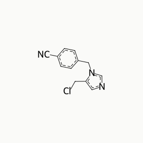 N#Cc1ccc(Cn2cncc2CCl)cc1